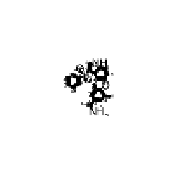 Cc1cc([C@@H](C)N)cc(C)c1Oc1ccc2[nH]cc(S(=O)(=O)c3ccccc3)c2c1